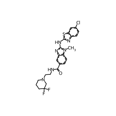 Cn1c(Nc2nc3ccc(Cl)cc3s2)nc2cc(C(=O)NCCN3CCCC(F)(F)C3)ccc21